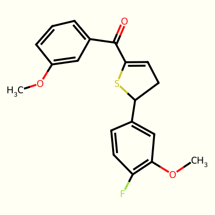 COc1cccc(C(=O)C2=CCC(c3ccc(F)c(OC)c3)S2)c1